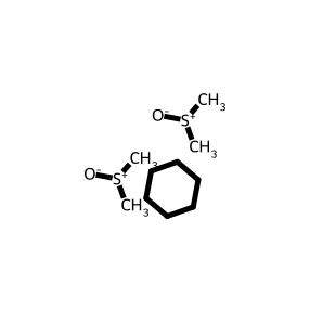 C1CCCCC1.C[S+](C)[O-].C[S+](C)[O-]